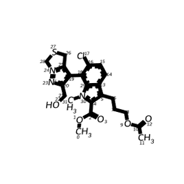 COC(=O)c1c(CCCOC(C)=O)c2ccc(Cl)c(-c3c(CO)nn4c3CSC4)c2n1C